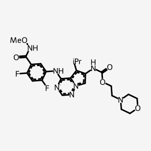 CONC(=O)c1cc(Nc2ncnn3cc(NC(=O)OCCN4CCOCC4)c(C(C)C)c23)c(F)cc1F